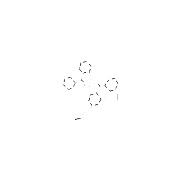 C=CCOc1ccc(C(=O)c2ccccc2)c(O)c1.O=C(c1ccccc1)c1ccccc1